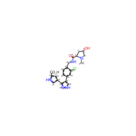 CC(=O)N1CC(O)CC1C(=O)NCc1ccc(-c2c[nH]nc2-c2c[nH]c(C(=O)O)c2)cc1Cl